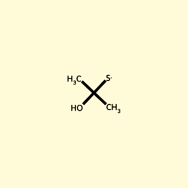 CC(C)(O)[S]